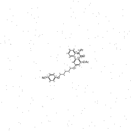 CC(=O)Oc1cc(OCCCCCOc2ccc(C#N)cc2)ccc1C(=O)N(c1ccccc1)C(C)C